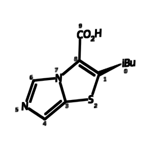 CC[C@H](C)c1sc2cncn2c1C(=O)O